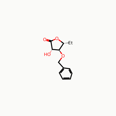 CC[C@H]1OC(=O)[C@@H](O)[C@@H]1OCc1ccccc1